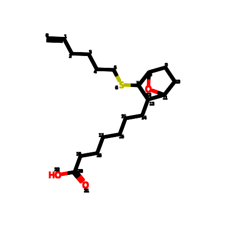 C=CCCCCSC1C2CCC(O2)C1CCCCCCC(=O)O